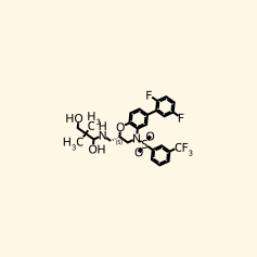 CC(C)(CO)C(O)NC[C@H]1CN(S(=O)(=O)c2cccc(C(F)(F)F)c2)c2cc(-c3cc(F)ccc3F)ccc2O1